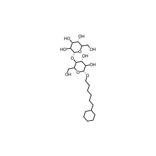 OCC1O[C@H](O[C@@H]2C(CO)O[C@@H](OCCCCCCC3CCCCC3)C(O)[C@H]2O)C(O)[C@@H](O)[C@@H]1O